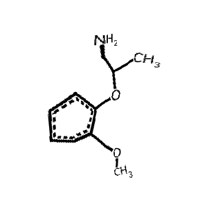 COc1ccccc1OC(C)CN